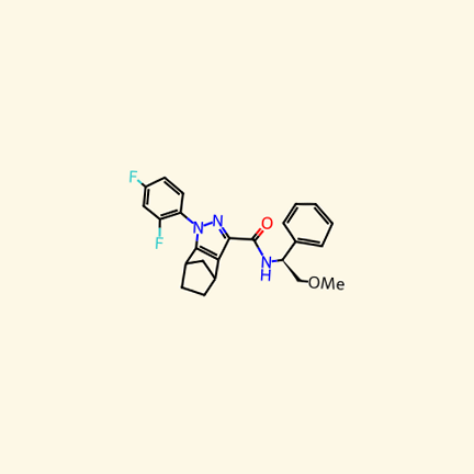 COC[C@@H](NC(=O)c1nn(-c2ccc(F)cc2F)c2c1C1CCC2C1)c1ccccc1